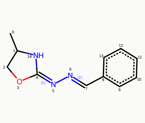 CC1CO/C(=N/N=C/c2ccccc2)N1